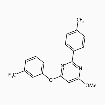 COc1cc(Oc2cccc(C(F)(F)F)c2)nc(-c2ccc(C(F)(F)F)cc2)n1